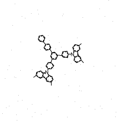 Cc1ccc2c(c1)c1cc(C)ccc1n2-c1ccc(-c2cc(-c3ccc(-c4ccccc4)cc3)cc(-c3ccc(-n4c5ccc(C)cc5c5cc(C)ccc54)cc3)c2)cc1